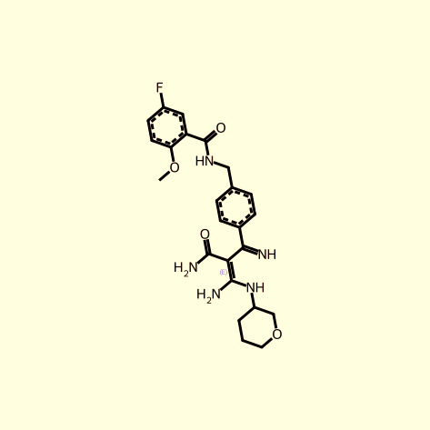 COc1ccc(F)cc1C(=O)NCc1ccc(C(=N)/C(C(N)=O)=C(/N)NC2CCCOC2)cc1